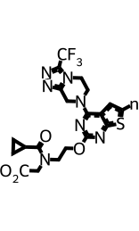 CCCc1cc2c(N3CCn4c(nnc4C(F)(F)F)C3)nc(OCCN(CC(=O)OCC)C(=O)C3CC3)nc2s1